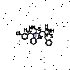 C=C(/C(=C1\C(=N)SC(C2NNC(=S)N2Cc2ccccc2)=C1Br)C1C=CCC=C1)c1cccc(Cl)c1